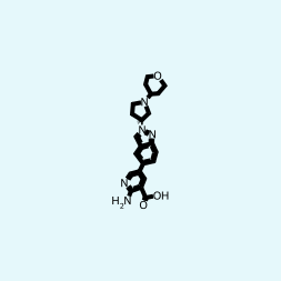 Nc1ncc(-c2ccc3nn([C@@H]4CCN(C5CCOCC5)C4)cc3c2)cc1C(=O)O